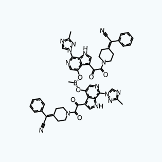 CB(Oc1cnc(-n2cnc(C)n2)c2[nH]cc(C(=O)C(=O)N3CCC(=C(C#N)c4ccccc4)CC3)c12)Oc1cnc(-n2cnc(C)n2)c2[nH]cc(C(=O)C(=O)N3CCC(=C(C#N)c4ccccc4)CC3)c12